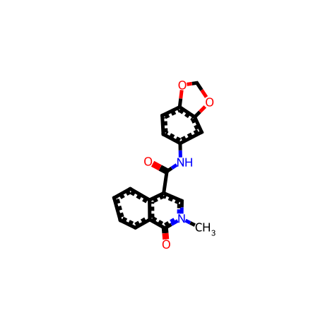 Cn1cc(C(=O)Nc2ccc3c(c2)OCO3)c2ccccc2c1=O